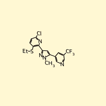 CCSc1ccc(Cl)nc1-c1cc(-c2cncc(C(F)(F)F)c2)n(C)n1